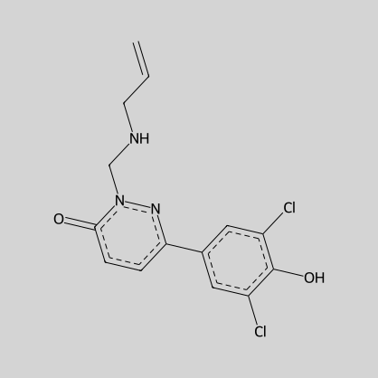 C=CCNCn1nc(-c2cc(Cl)c(O)c(Cl)c2)ccc1=O